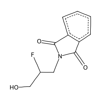 O=C1c2ccccc2C(=O)N1CC(F)CO